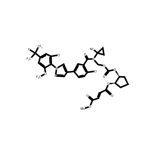 CC(C)(C)OC(=O)/C=C/C(=O)O[C@@H]1CCC[C@@H]1OC(=O)OCN(C(=O)c1cc(-c2cnn(-c3c(Cl)cc(C(F)(C(F)(F)F)C(F)(F)F)cc3OC(F)(F)F)c2)ccc1Cl)C1(C#N)CC1